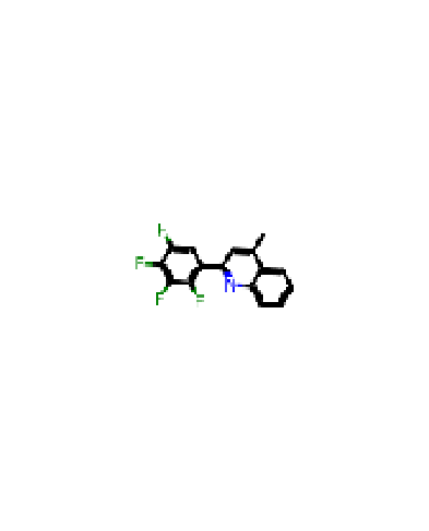 Cc1cc(-c2cc(F)c(F)c(F)c2F)nc2ccccc12